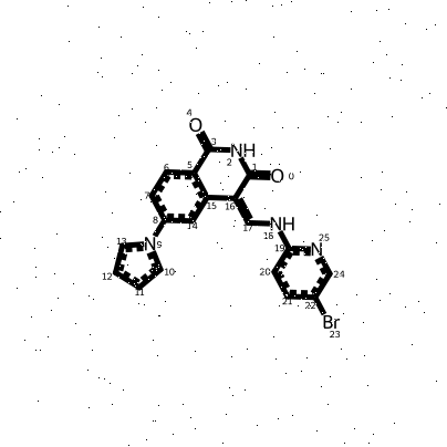 O=C1NC(=O)c2ccc(-n3cccc3)cc2C1=CNc1ccc(Br)cn1